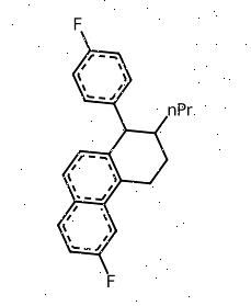 CCCC1CCc2c(ccc3ccc(F)cc23)C1c1ccc(F)cc1